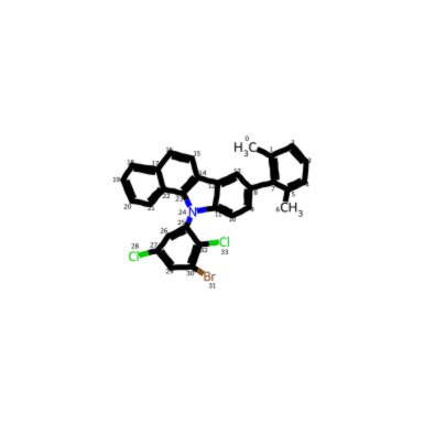 Cc1cccc(C)c1-c1ccc2c(c1)c1ccc3ccccc3c1n2-c1cc(Cl)cc(Br)c1Cl